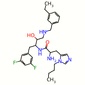 CCCCn1cncc1CC(N)C(=O)NC(Cc1cc(F)cc(F)c1)C(O)CNCc1cccc(CC)c1